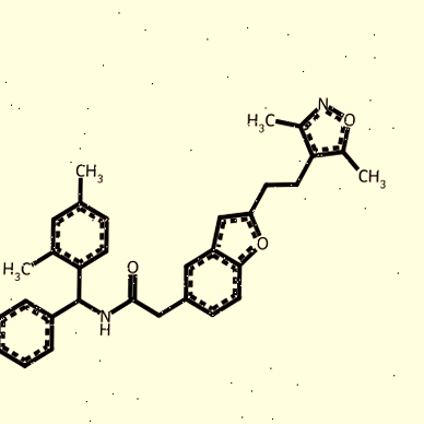 Cc1ccc(C(NC(=O)Cc2ccc3oc(CCc4c(C)noc4C)cc3c2)c2ccccc2)c(C)c1